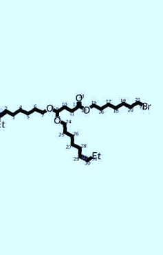 CC/C=C\CCCCCOC(CCC(=O)OCCCCCCCBr)OCCCCC/C=C\CC